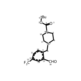 CC(C)(C)OC(=O)N1CCN(Cc2ccc(C(F)(F)F)cc2C=O)CC1